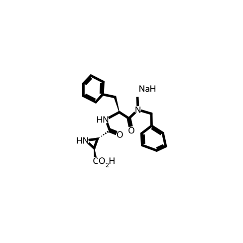 CN(Cc1ccccc1)C(=O)[C@H](Cc1ccccc1)NC(=O)[C@H]1N[C@@H]1C(=O)O.[NaH]